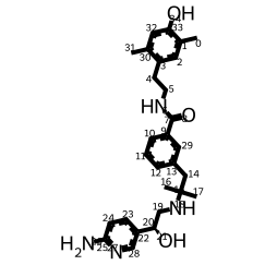 Cc1cc(CCNC(=O)c2cccc(CC(C)(C)NC[C@@H](O)c3ccc(N)nc3)c2)c(C)cc1O